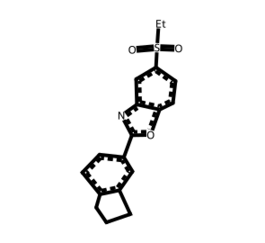 CCS(=O)(=O)c1ccc2oc(-c3ccc4c(c3)CCC4)nc2c1